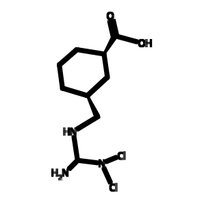 NC(NC[C@H]1CCC[C@@H](C(=O)O)C1)N(Cl)Cl